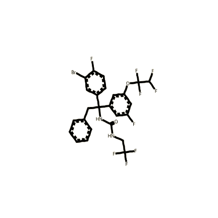 O=C(NCC(F)(F)F)NC(Cc1ccccc1)(c1cc(F)cc(OC(F)(F)C(F)F)c1)c1ccc(F)c(Br)c1